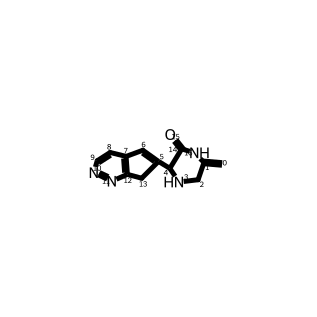 C=C1CNC(C2=Cc3ccnnc3C2)C(=O)N1